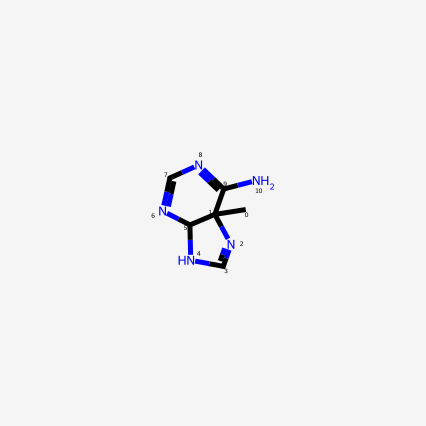 CC12N=CNC1N=CN=C2N